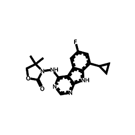 CC1(C)COC(=O)N1Nc1ncnc2[nH]c3c(C4CC4)cc(F)cc3c12